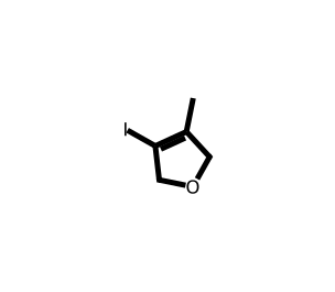 CC1=C(I)COC1